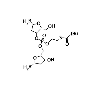 B[C@H]1CC(O)[C@@H](CO[P@](=O)(OCCSC(=O)C(C)(C)C)OC2C[C@H](B)O[C@@H]2CO)O1